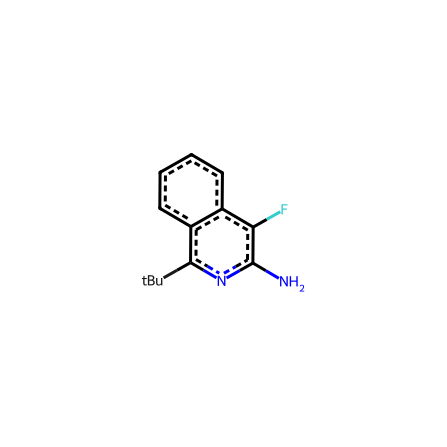 CC(C)(C)c1nc(N)c(F)c2ccccc12